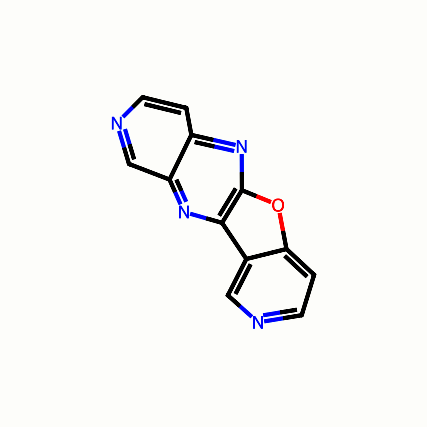 c1cc2nc3oc4ccncc4c3nc2cn1